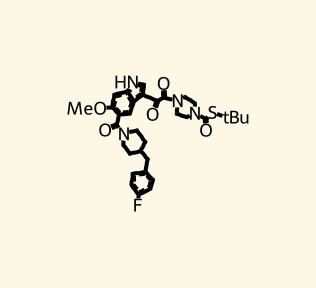 COc1cc2[nH]cc(C(=O)C(=O)N3CCN(C(=O)SC(C)(C)C)CC3)c2cc1C(=O)N1CCC(Cc2ccc(F)cc2)CC1